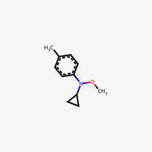 CON(c1ccc(C)cc1)C1CC1